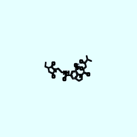 CCC1CC(=O)N(CCNC(=O)c2cc3c(c([N+](=O)[O-])c2)N(C(=O)CCC(=O)C(C)C)CC3)C1=O